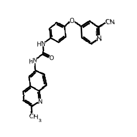 Cc1ccc2cc(NC(=O)Nc3ccc(Oc4ccnc(C#N)c4)cc3)ccc2n1